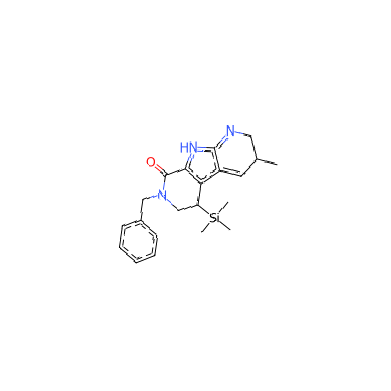 CC1C=c2c3c([nH]c2=NC1)C(=O)N(Cc1ccccc1)CC3[Si](C)(C)C